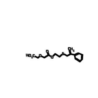 C=C(CSCCOC(=O)COCC(=O)O)c1ccccc1